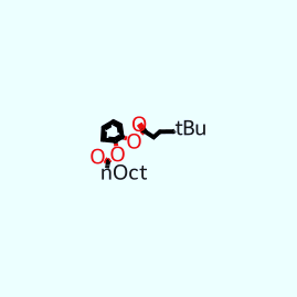 CCCCCCCCC(=O)Oc1ccccc1OC(=O)CCCC(C)(C)C